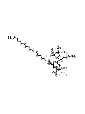 CCCCCCCCCCCCCCCCCCNc1nc(N(CCCOC)C2CC(C)(C)NC(C)(C)C2)nc(N(C(C)O)C(C)O)n1